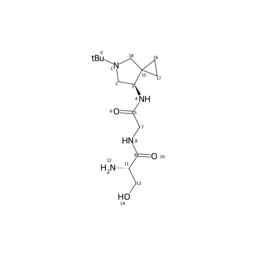 CC(C)(C)N1C[C@H](NC(=O)CNC(=O)[C@@H](N)CO)C2(CC2)C1